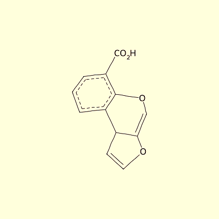 O=C(O)c1cccc2c1OC=C1OC=CC12